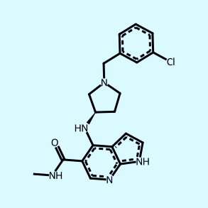 CNC(=O)c1cnc2[nH]ccc2c1N[C@@H]1CCN(Cc2cccc(Cl)c2)C1